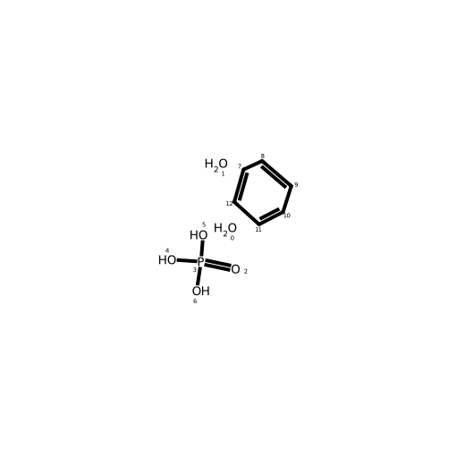 O.O.O=P(O)(O)O.c1ccccc1